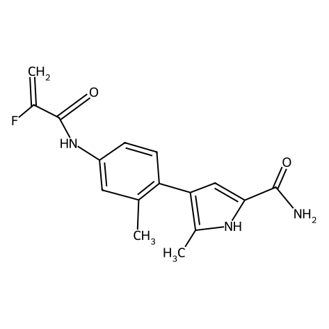 C=C(F)C(=O)Nc1ccc(-c2cc(C(N)=O)[nH]c2C)c(C)c1